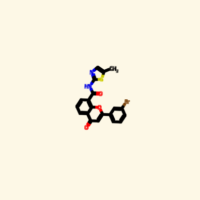 Cc1cnc(NC(=O)c2cccc3c(=O)cc(-c4cccc(Br)c4)oc23)s1